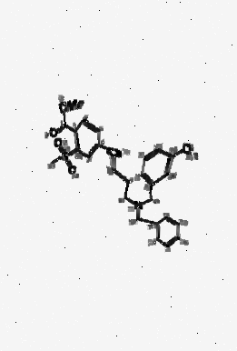 COC(=O)c1ccc(OCCCN(Cc2ccccc2)Cc2cccc(C(F)(F)F)c2)cc1S(C)(=O)=O